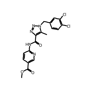 COC(=O)c1ccc(NC(=O)c2nnn(Cc3ccc(Cl)c(Cl)c3)c2C)nc1